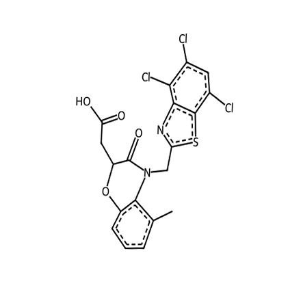 Cc1cccc2c1N(Cc1nc3c(Cl)c(Cl)cc(Cl)c3s1)C(=O)C(CC(=O)O)O2